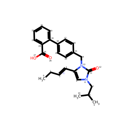 CC/C=C/c1cn(CC(C)C)c(=O)n1Cc1ccc(-c2ccccc2C(=O)O)cc1